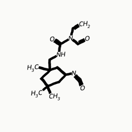 C=CN(C=O)C(=O)NCC1(C)CC(N=C=O)CC(C)(C)C1